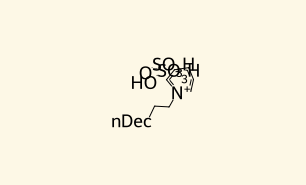 CCCCCCCCCCCC[n+]1ccccc1.O=S(=O)(O)O.O=S(=O)([O-])O